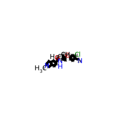 CN1CCc2cc(C(=O)N[C@H]3C[C@H](Oc4ccc(C#N)c(Cl)c4)C3(C)C)ccc2C1